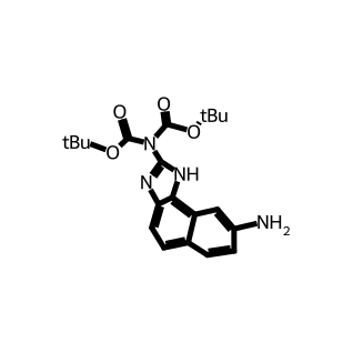 CC(C)(C)OC(=O)N(C(=O)OC(C)(C)C)c1nc2ccc3ccc(N)cc3c2[nH]1